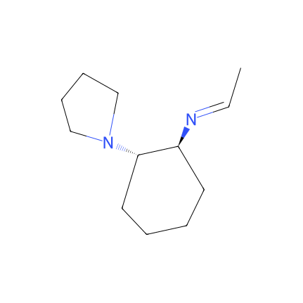 C/C=N/[C@H]1CCCC[C@@H]1N1CCCC1